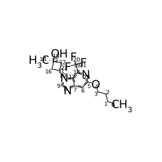 CCCCOc1cc2ncn([C@H]3C[C@](C)(O)C3)c2c(C(F)(F)F)n1